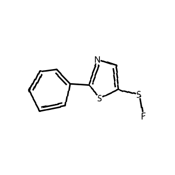 FSc1cnc(-c2ccccc2)s1